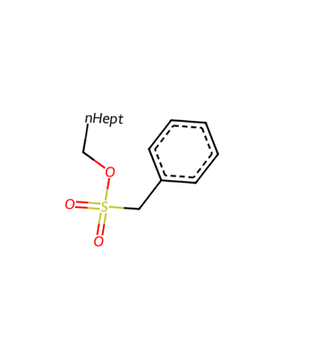 CCCCCCCCOS(=O)(=O)Cc1ccccc1